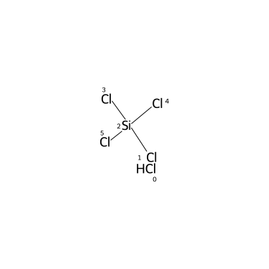 Cl.Cl[Si](Cl)(Cl)Cl